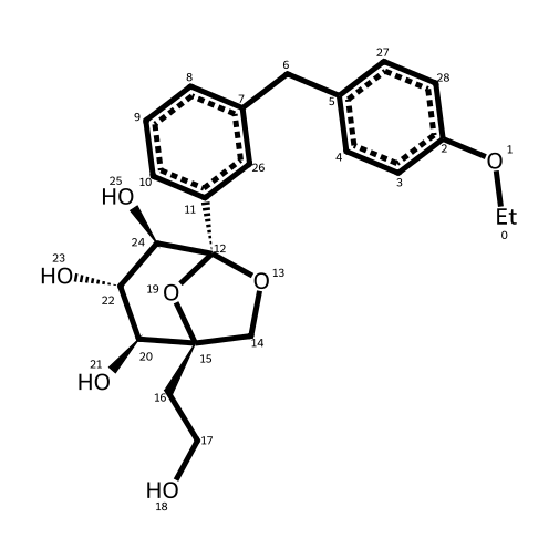 CCOc1ccc(Cc2cccc([C@]34OC[C@@](CCO)(O3)[C@@H](O)[C@H](O)[C@H]4O)c2)cc1